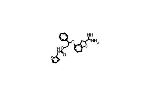 N=C(N)C1Cc2c(OC(COC(=O)Nc3cccs3)c3ccccc3)cccc2S1